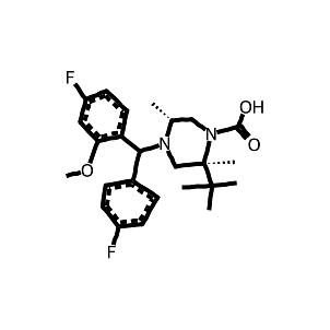 COc1cc(F)ccc1C(c1ccc(F)cc1)N1C[C@](C)(C(C)(C)C)N(C(=O)O)C[C@H]1C